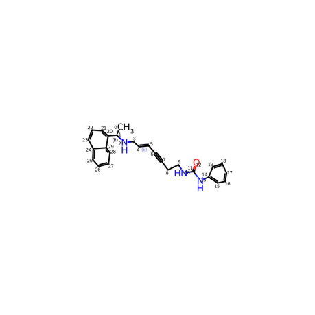 C[C@@H](NC/C=C/C#CCCNC(=O)Nc1ccccc1)c1cccc2ccccc12